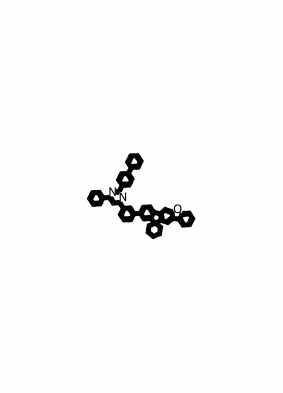 c1ccc(-c2ccc(-c3nc(-c4ccccc4)cc(-c4cccc(-c5ccc6c(c5)C5(CCCCC5)c5cc7c(cc5-6)oc5ccccc57)c4)n3)cc2)cc1